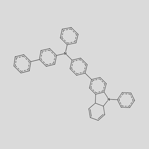 C1=CC2c3cc(-c4ccc(N(c5ccccc5)c5ccc(-c6ccccc6)cc5)cc4)ccc3N(c3ccccc3)C2C=C1